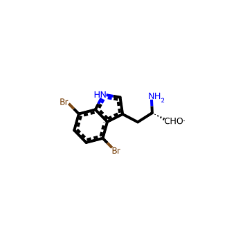 N[C@H]([C]=O)Cc1c[nH]c2c(Br)ccc(Br)c12